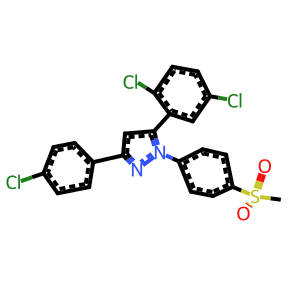 CS(=O)(=O)c1ccc(-n2nc(-c3ccc(Cl)cc3)cc2-c2cc(Cl)ccc2Cl)cc1